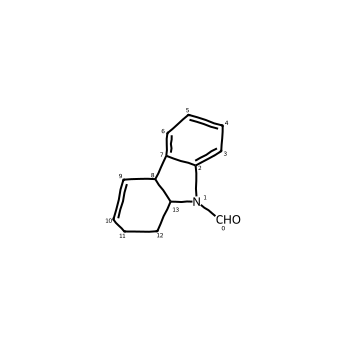 O=CN1c2ccccc2C2C=CCCC21